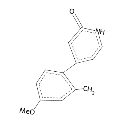 COc1ccc(-c2cc[nH]c(=O)c2)c(C)c1